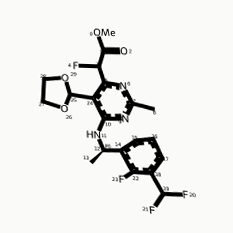 COC(=O)C(F)c1nc(C)nc(N[C@H](C)c2cccc(C(F)F)c2F)c1C1OCCO1